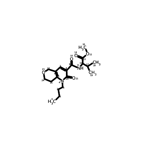 CCCCn1c2c(cc(C(=O)NC(C(=O)OC)C(C)C)c1=O)COCC2